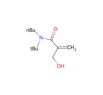 C=C(CO)C(=O)N(CCCC)C(C)(C)C